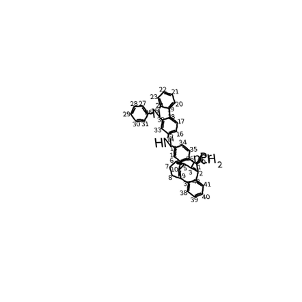 C=C1C2=C(CCC)C3=CCCC(=C3c3cc(Nc4ccc5c6ccccc6n(-c6ccccc6)c5c4)ccc31)c1ccccc12